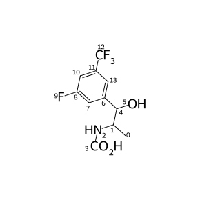 CC(NC(=O)O)C(O)c1cc(F)cc(C(F)(F)F)c1